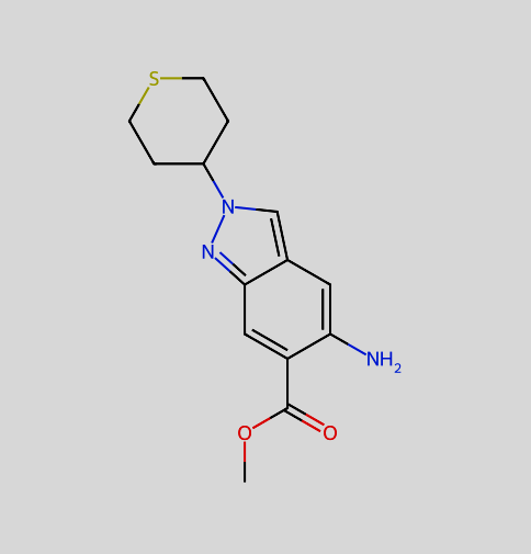 COC(=O)c1cc2nn(C3CCSCC3)cc2cc1N